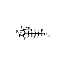 FC(F)=C(C(F)(F)C(F)(F)C(F)(F)C(F)(F)C(F)(F)C(F)(F)F)C(F)(C(F)(F)F)C(F)(F)F